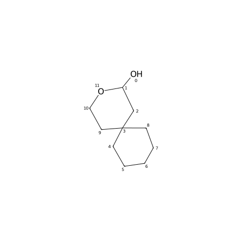 OC1CC2(CCCCC2)CCO1